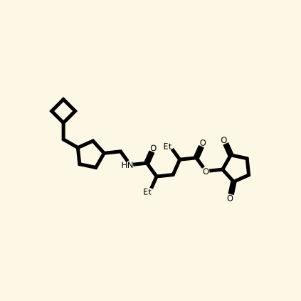 CCC(CC(CC)C(=O)OC1C(=O)CCC1=O)C(=O)NCC1CCC(CC2CCC2)C1